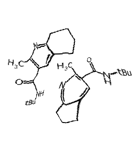 Cc1nc2c(cc1C(=O)NC(C)(C)C)CCC2.Cc1nc2c(cc1C(=O)NC(C)(C)C)CCCC2